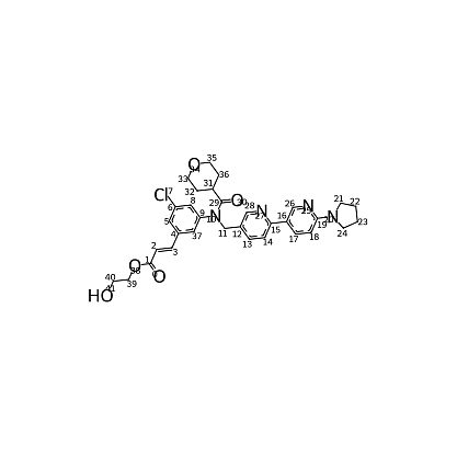 O=C(/C=C/c1cc(Cl)cc(N(Cc2ccc(-c3ccc(N4CCCC4)nc3)nc2)C(=O)C2CCOCC2)c1)OCCO